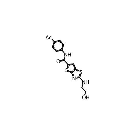 CC(=O)c1ccc(NC(=O)c2cc3sc(NCCO)nc3s2)cc1